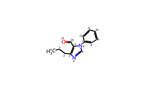 CCCc1ncn(-c2ccccc2)c1[C]=O